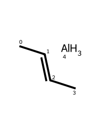 CC=CC.[AlH3]